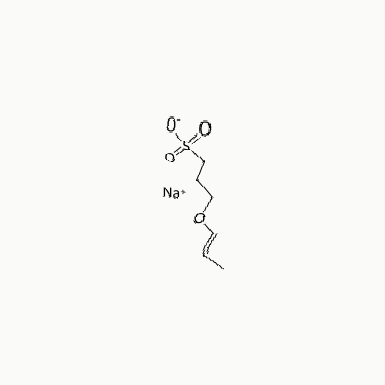 CC=COCCCS(=O)(=O)[O-].[Na+]